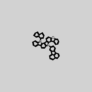 c1ccc2c(-n3c4ccccc4c4ccc5c(c6ccc7oc8ccccc8c7c6n5-c5ccc6c(c5)-c5cccc7cccc-6c57)c43)cccc2c1